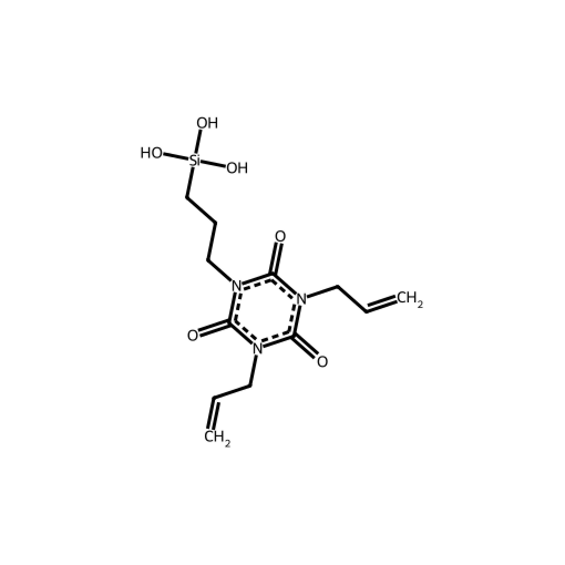 C=CCn1c(=O)n(CC=C)c(=O)n(CCC[Si](O)(O)O)c1=O